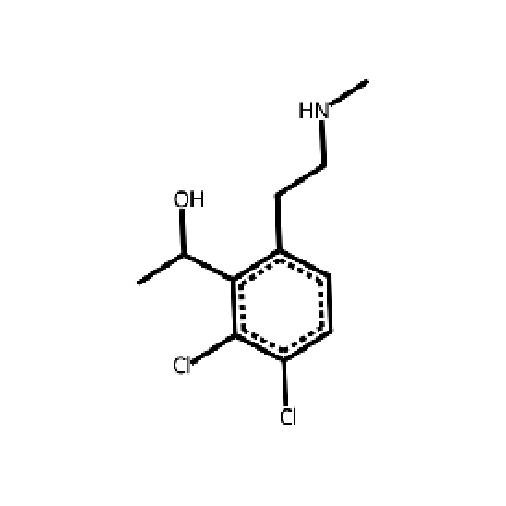 CNCCc1ccc(Cl)c(Cl)c1C(C)O